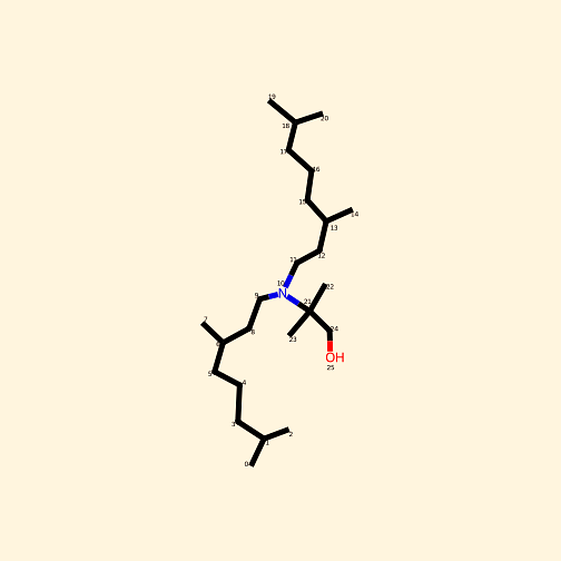 CC(C)CCCC(C)CCN(CCC(C)CCCC(C)C)C(C)(C)CO